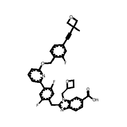 CC1(C#Cc2ccc(COc3cccc(-c4cc(F)c(Cc5nc6ccc(C(=O)O)cc6n5CC5CCO5)cc4F)n3)c(F)c2)COC1